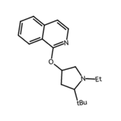 CCN1CC(Oc2nccc3ccccc23)CC1C(C)(C)C